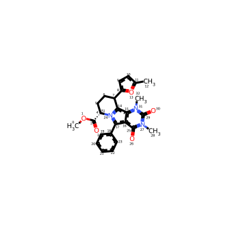 COC(=O)[C@@H]1CCC(c2ccc(C)o2)c2c3c(c(-c4ccccc4)n21)c(=O)n(C)c(=O)n3C